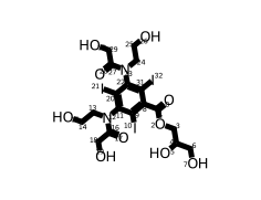 O=C(OCC(O)CO)c1c(I)c(N(CCO)C(=O)CO)c(I)c(N(CCO)C(=O)CO)c1I